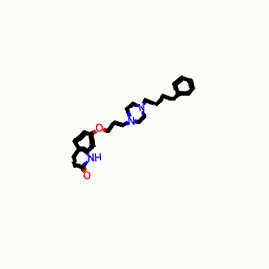 O=C1CCc2ccc(OCCCN3CCN(CCCCc4ccccc4)CC3)cc2N1